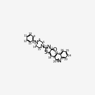 O=C1N=C(N2CCN(c3ccccc3)CC2)SC1=Cc1cnc2ccccc2c1